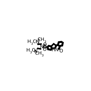 CN(C)CCN(CCN(C)C)S(=O)(=O)c1ccc2c(c1)Cc1c-2[nH]c(=O)c2ccccc12